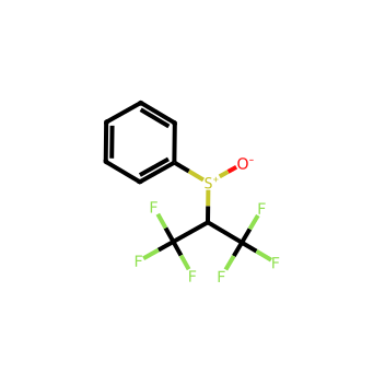 [O-][S+](c1ccccc1)C(C(F)(F)F)C(F)(F)F